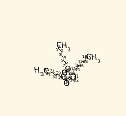 CCCCCCCCOC(=O)c1c(CCCCCCCC)cccc1C(=O)OCCCCCC